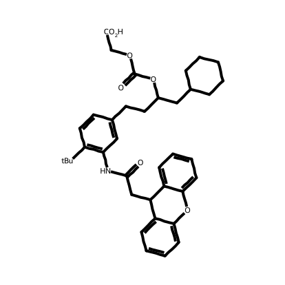 CC(C)(C)c1ccc(CCC(CC2CCCCC2)OC(=O)OCC(=O)O)cc1NC(=O)CC1c2ccccc2Oc2ccccc21